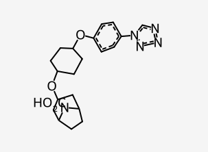 O=C(O)N1C2CCC1CC(OC1CCC(Oc3ccc(-n4cnnn4)cc3)CC1)C2